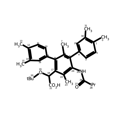 Cc1ccc(-c2c(C)c(-c3ccc(C)c(C)c3)c(C(OC(C)(C)C)C(=O)O)c(C)c2NC(=O)C(C)C)cc1C